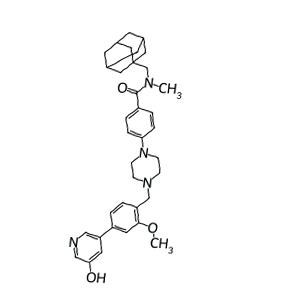 COc1cc(-c2cncc(O)c2)ccc1CN1CCN(c2ccc(C(=O)N(C)CC34CC5CC(CC(C5)C3)C4)cc2)CC1